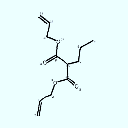 C=CCOC(=O)C(CCC)C(=O)OCC=C